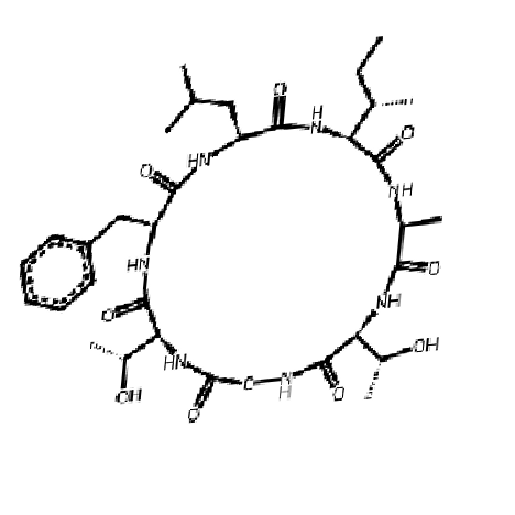 CC[C@H](C)[C@@H]1NC(=O)[C@H](CC(C)C)NC(=O)[C@H](Cc2ccccc2)NC(=O)[C@H]([C@@H](C)O)NC(=O)CNC(=O)[C@H]([C@@H](C)O)NC(=O)[C@H](C)NC1=O